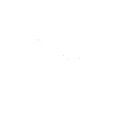 Cl.Cl.[CH2]=[Hf]([C]1=C(C)C(C)=CC1)[C]1=C(C)C(C)=CC1